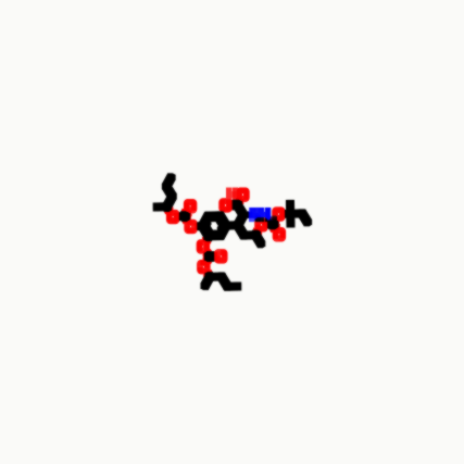 CCCC(C)OC(=O)Oc1ccc(C(CC(C)OC(=O)OC(C)(C)CC)[C@H](N)C(=O)O)cc1OC(=O)OC(C)CCC